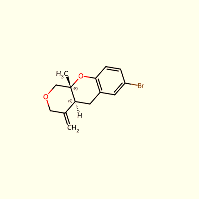 C=C1COC[C@]2(C)Oc3ccc(Br)cc3C[C@@H]12